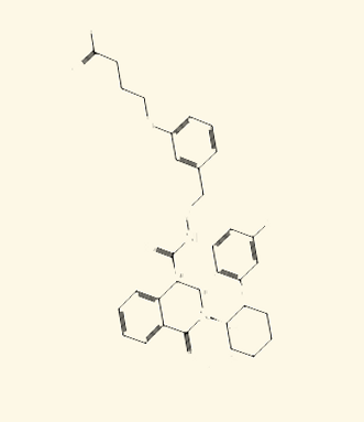 O=C(O)CCCOc1cccc(CONC(=O)[C@@H]2c3ccccc3C(=O)N([C@H]3CCCC[C@@H]3O)[C@H]2c2ccc(Cl)cc2Cl)c1